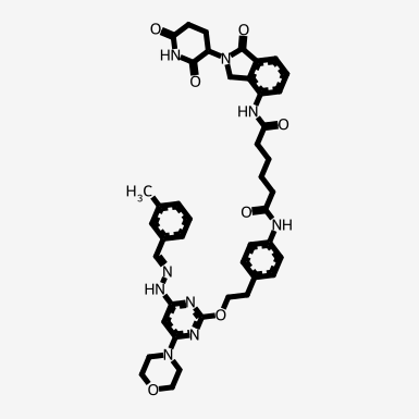 Cc1cccc(/C=N/Nc2cc(N3CCOCC3)nc(OCCc3ccc(NC(=O)CCCCC(=O)Nc4cccc5c4CN(C4CCC(=O)NC4=O)C5=O)cc3)n2)c1